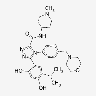 CC(C)c1cc(-c2nnc(C(=O)NC3CCN(C)CC3)n2-c2ccc(CN3CCOCC3)cc2)c(O)cc1O